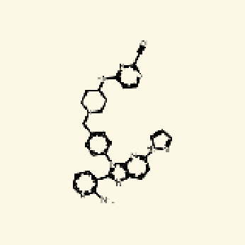 N#Cc1nccc(NC2CCN(Cc3ccc(-n4c(-c5cccnc5N)nc5ccc([SH]6C=CC=N6)nc54)cc3)CC2)n1